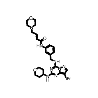 CC(C)c1cnn2c(NCc3cccc(NC(=O)C=CCN4CCOCC4)c3)nc(NC3CCOCC3)nc12